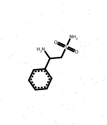 NC(CS(N)(=O)=O)c1ccccc1